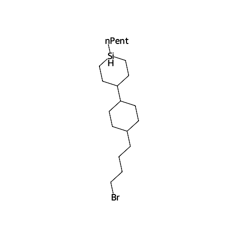 CCCCC[SiH]1CCC(C2CCC(CCCCBr)CC2)CC1